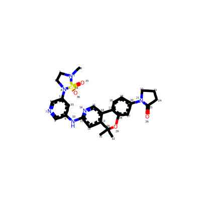 CN1CCN(c2cncc(Nc3cc4c(cn3)-c3ccc(N5CCCC5=O)cc3OC4(C)C)c2)S1(=O)=O